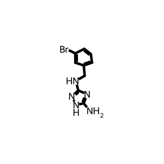 Nc1nc(NCc2cccc(Br)c2)n[nH]1